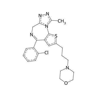 Cc1nnc2n1-c1sc(CCCN3CCOCC3)cc1C(c1ccccc1Cl)=NC2